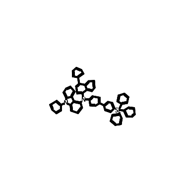 c1ccc(-c2ccc(N(c3ccc(-c4ccc([Si](c5ccccc5)(c5ccccc5)c5ccccc5)cc4)cc3)c3cccc4c3c3ccccc3n4-c3ccccc3)c3ccccc23)cc1